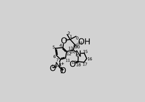 CC1(C)Oc2ccc([N+](=O)[O-])cc2[C@H](N2CCCC2=O)[C@H]1O